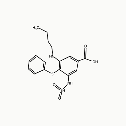 CCCCNc1cc(C(=O)O)cc(N[SH](=O)=O)c1Sc1ccccc1